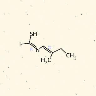 CC/C(C)=C/N=C(\S)I